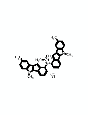 Cc1ccc2c(c1)c1c(n2C)C2=CC=C[CH]([Zr+2]([CH]3C=CC=C4C3=Cc3c4n(C)c4ccc(C)cc34)[SiH](C)C)C2=C1.[Cl-].[Cl-]